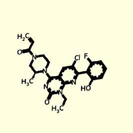 C=CC(=O)N1CCN(c2nc(=O)n(CC)c3nc(-c4c(O)cccc4F)c(Cl)cc23)[C@@H](C)C1